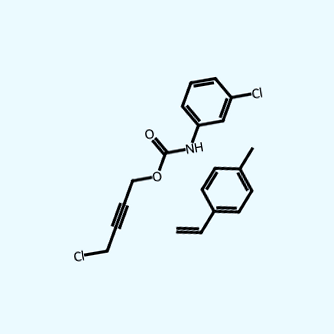 C=Cc1ccc(C)cc1.O=C(Nc1cccc(Cl)c1)OCC#CCCl